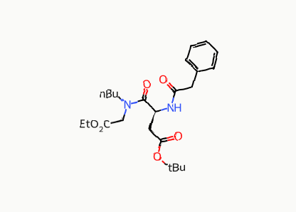 CCCCN(CC(=O)OCC)C(=O)[C@H](CC(=O)OC(C)(C)C)NC(=O)Cc1ccccc1